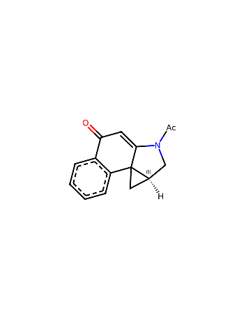 CC(=O)N1C[C@H]2CC23C1=CC(=O)c1ccccc13